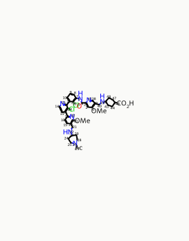 COc1cc(C(=O)Nc2cccc(-c3nccc(-c4ccc(CNC5CCN(C(C)=O)CC5)c(OC)n4)c3Cl)c2Cl)ncc1CNC1CCC(C(=O)O)CC1